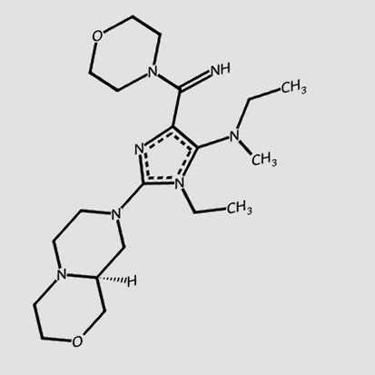 CCN(C)c1c(C(=N)N2CCOCC2)nc(N2CCN3CCOC[C@@H]3C2)n1CC